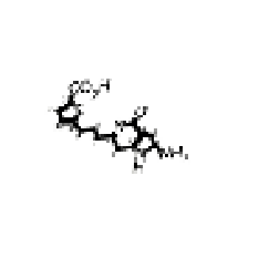 NC1CC2=C(CC(CCCc3ccc(C(=O)O)s3)=NC2=O)N1